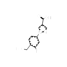 CCc1ccc(-n2cc(C(=O)O)cn2)cc1F